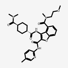 COCCN(C)C(=O)c1cccc2oc(C(=O)Nc3ccc(C)cn3)c(NC(=O)[C@H]3CC[C@H](C(=O)N(C)C)CC3)c12